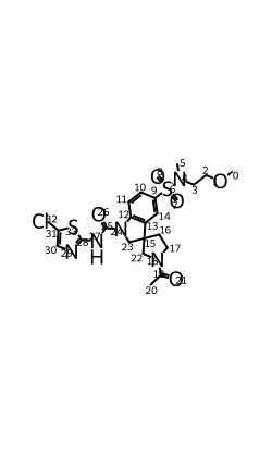 COCCN(C)S(=O)(=O)c1ccc2c(c1)C1(CCN(C(C)=O)C1)CN2C(=O)Nc1ncc(Cl)s1